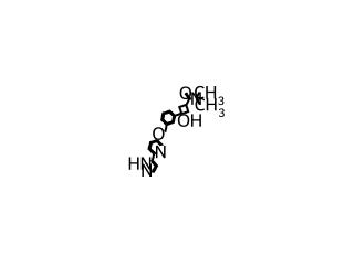 CN(C)C(=O)C1CC(O)(c2cccc(COc3ccc(-c4ccn[nH]4)nc3)c2)C1